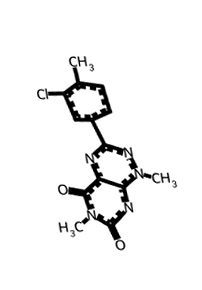 Cc1ccc(-c2nc3c(=O)n(C)c(=O)nc-3n(C)n2)cc1Cl